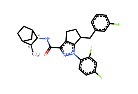 O=C(N[C@@H]1C2CCC(C2)[C@@H]1C(=O)O)c1nn(-c2ccc(F)cc2F)c2c1CCC2Cc1cccc(F)c1